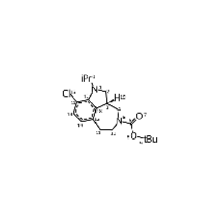 CC(C)N1C[C@@H]2CN(C(=O)OC(C)(C)C)CCc3ccc(Cl)c1c32